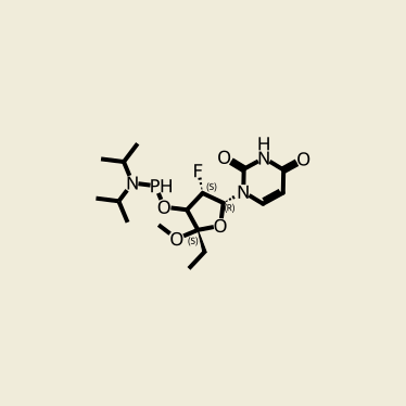 CC[C@]1(OC)O[C@@H](n2ccc(=O)[nH]c2=O)[C@@H](F)C1OPN(C(C)C)C(C)C